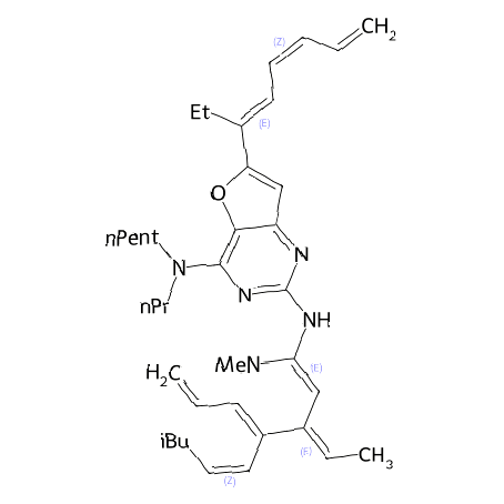 C=CC=C(/C=C\C(C)CC)C(/C=C(\NC)Nc1nc(N(CCC)CCCCC)c2oc(/C(=C/C=C\C=C)CC)cc2n1)=C/C